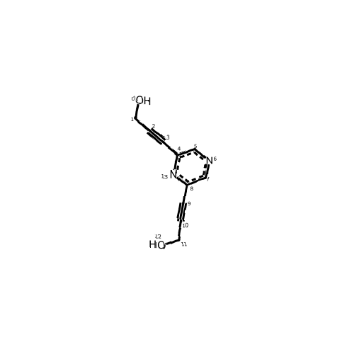 OCC#Cc1cncc(C#CCO)n1